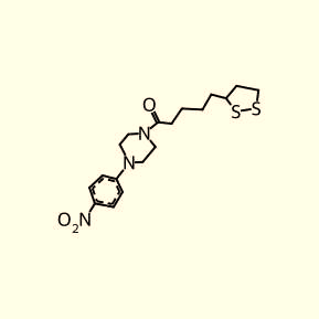 O=C(CCCCC1CCSS1)N1CCN(c2ccc([N+](=O)[O-])cc2)CC1